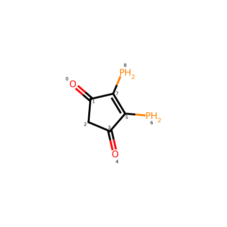 O=C1CC(=O)C(P)=C1P